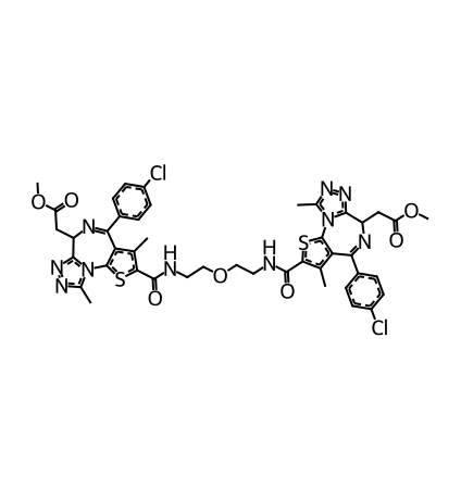 COC(=O)CC1N=C(c2ccc(Cl)cc2)c2c(sc(C(=O)NCCOCCNC(=O)c3sc4c(c3C)C(c3ccc(Cl)cc3)=NC(CC(=O)OC)c3nnc(C)n3-4)c2C)-n2c(C)nnc21